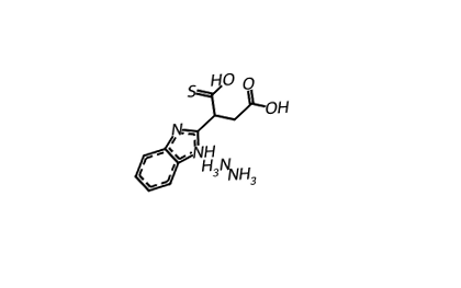 N.N.O=C(O)CC(C(O)=S)c1nc2ccccc2[nH]1